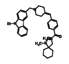 CCn1c2ccccc2c2cc(CN3CCC(=Cc4ccc(C(=O)NCC5(N(C)C)CCCCC5)cc4)CC3)ccc21